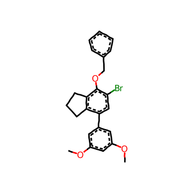 COc1cc(OC)cc(-c2cc(Br)c(OCc3ccccc3)c3c2CCC3)c1